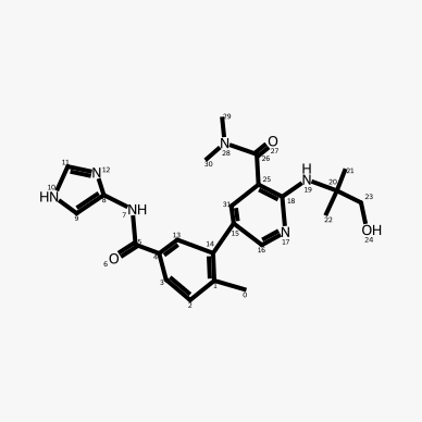 Cc1ccc(C(=O)Nc2c[nH]cn2)cc1-c1cnc(NC(C)(C)CO)c(C(=O)N(C)C)c1